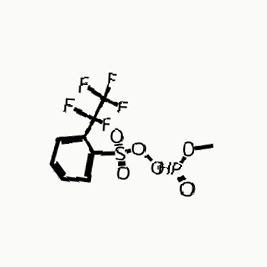 CO[PH](=O)OOS(=O)(=O)c1ccccc1C(F)(F)C(F)(F)F